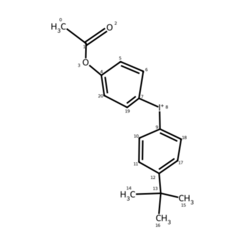 CC(=O)Oc1ccc([I+]c2ccc(C(C)(C)C)cc2)cc1